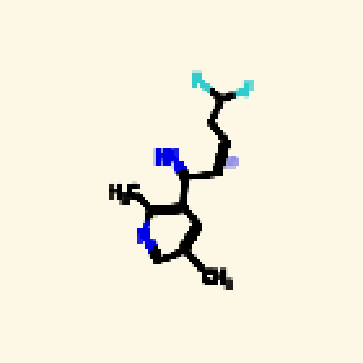 Cc1cnc(C)c(C(=N)/C=C\CC(F)F)c1